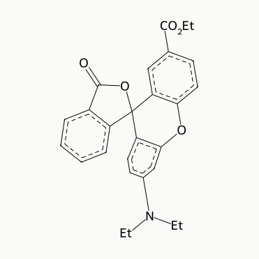 CCOC(=O)c1ccc2c(c1)C1(OC(=O)c3ccccc31)c1ccc(N(CC)CC)cc1O2